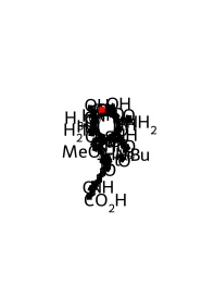 CCC(=O)N[C@H](C(=O)NCC(=O)N[C@H]1C[S+]([O-])c2[nH]c3c(CS[C@H]4CCN(C(=O)CCCCCNC(=O)CCC(=O)O)C4)c(OC)ccc3c2C[C@@H](C(N)=O)NC(=O)[C@H]([C@@H](C)[C@@H](O)CO)NC(=O)[C@@H]2C[C@@H](O)CN2C(=O)[C@H](CCC(N)=O)NC1=O)[C@@H](C)CC